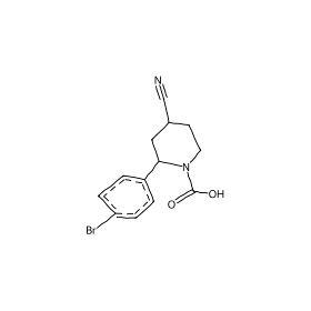 N#CC1CCN(C(=O)O)C(c2ccc(Br)cc2)C1